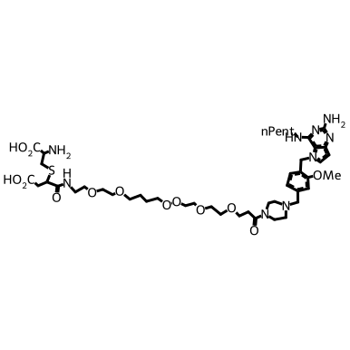 CCCCCNc1nc(N)nc2ccn(Cc3ccc(CN4CCN(C(=O)CCOCCOCCOOCCCCOCCOCCNC(=O)C(CC(=O)O)SCC(N)C(=O)O)CC4)cc3OC)c12